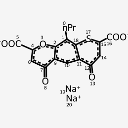 CCCc1c2oc(C(=O)[O-])cc(=O)c2cc2c(=O)cc(C(=O)[O-])sc12.[Na+].[Na+]